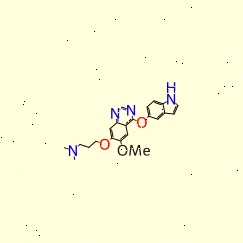 COc1cc2c(Oc3ccc4[nH]ccc4c3)ncnc2cc1OCCCN(C)C